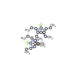 Cc1cccc(-c2ccc3c(c2)c2cc(-c4cccc(C)c4)ccc2n3-c2cc(C(F)(F)F)cc(-n3c4ccc(-c5cccc(C)c5)cc4c4cc(-c5ccc(-c6cc(-c7cccc(C)c7)cc7c6c6ccc(-c8cccc(C)c8)cc6n7-c6cc(C(F)(F)F)cc(-n7c8cc(-c9cccc(C)c9)ccc8c8ccc(-c9cccc(C)c9)cc87)c6-c6cccc(C#N)c6)c(C)c5)ccc43)c2-c2cccc(C#N)c2)c1